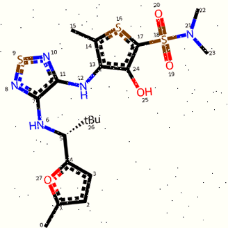 Cc1ccc([C@H](Nc2nsnc2Nc2c(C)sc(S(=O)(=O)N(C)C)c2O)C(C)(C)C)o1